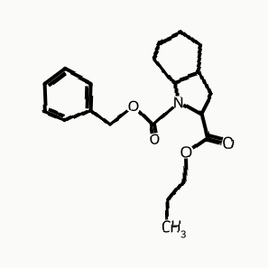 CCCOC(=O)C1CC2CCCCC2N1C(=O)OCc1ccccc1